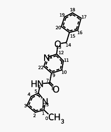 Cc1cccc(NC(=O)c2ccc(OCc3ccccc3)nc2)n1